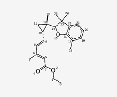 CCOC(=O)C=C(C)C=C[C@@H]1C[C@]1(C)C1Oc2c(C)cccc2C1(C)C